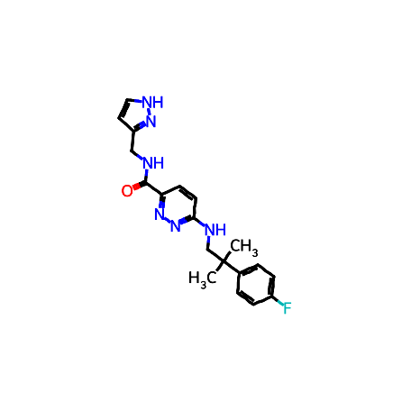 CC(C)(CNc1ccc(C(=O)NCc2cc[nH]n2)nn1)c1ccc(F)cc1